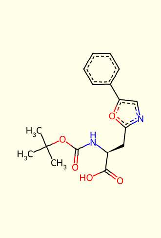 CC(C)(C)OC(=O)N[C@@H](Cc1ncc(-c2ccccc2)o1)C(=O)O